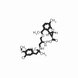 CSc1ccc(CC(C)(C)NCC(O)CO[C@H](C)c2ccc(C)c3c2[C@@H]2[C@H](O3)[C@H]2C(=O)O)cc1Cl